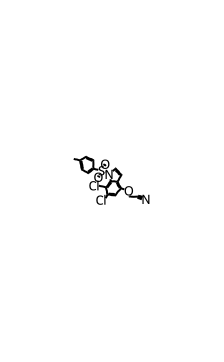 Cc1ccc(S(=O)(=O)n2ccc3c(OCC#N)cc(Cl)c(Cl)c32)cc1